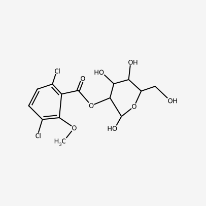 COc1c(Cl)ccc(Cl)c1C(=O)OC1C(O)OC(CO)C(O)C1O